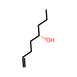 C=CCC[C@@H](O)CCC